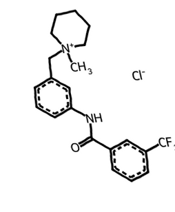 C[N+]1(Cc2cccc(NC(=O)c3cccc(C(F)(F)F)c3)c2)CCCCC1.[Cl-]